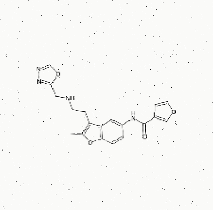 Cc1oc2ccc(NC(=O)c3ccoc3)cc2c1CCNCc1nnco1